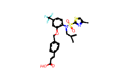 Cc1csc(S(=O)(=O)N(CC(C)C)c2ccc(C(F)(F)F)cc2OCc2ccc(C=CC(=O)O)cc2)n1